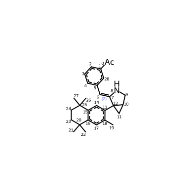 CC(=O)c1cccc(/C=C2\NCC3CC23c2cc3c(cc2C)C(C)(C)CCC3(C)C)c1